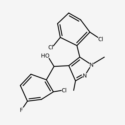 Cc1nn(C)c(-c2c(Cl)cccc2Cl)c1C(O)c1ccc(F)cc1Cl